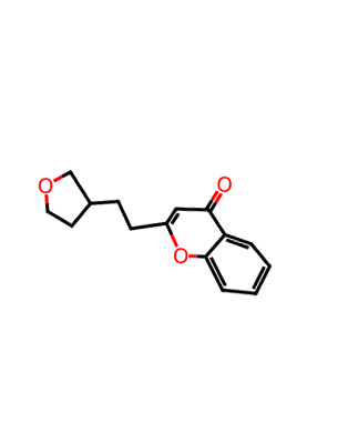 O=c1cc(CCC2CCOC2)oc2ccccc12